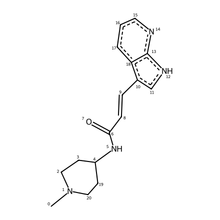 CN1CCC(NC(=O)C=Cc2c[nH]c3ncccc23)CC1